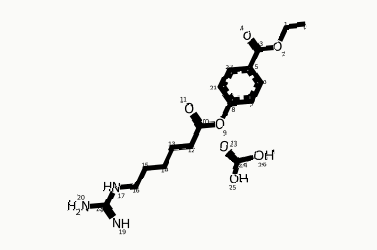 CCOC(=O)c1ccc(OC(=O)CCCCCNC(=N)N)cc1.O=C(O)O